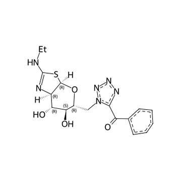 CCNC1=N[C@@H]2[C@@H](O)[C@H](O)[C@@H](Cn3nnnc3C(=O)c3ccccc3)O[C@@H]2S1